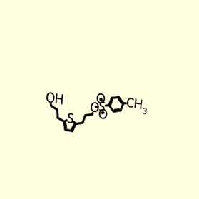 Cc1ccc(S(=O)(=O)OCCCc2ccc(CCCO)s2)cc1